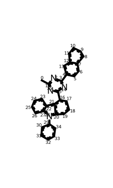 Cc1nc(-c2ccc3ccccc3c2)nc(-c2cccc3c2c2ccccc2n3-c2ccccc2)n1